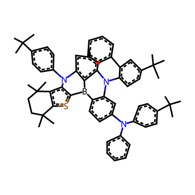 Cc1cc2c3c(c1)N(c1ccc(C(C)(C)C)cc1)c1c(sc4c1C(C)(C)CCC4(C)C)B3c1ccc(N(c3ccccc3)c3ccc(C(C)(C)C)cc3)cc1N2c1ccc(C(C)(C)C)cc1-c1ccccc1